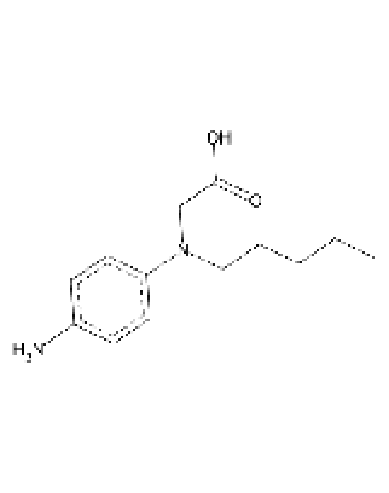 CCCCCN(CC(=O)O)c1ccc(N)cc1